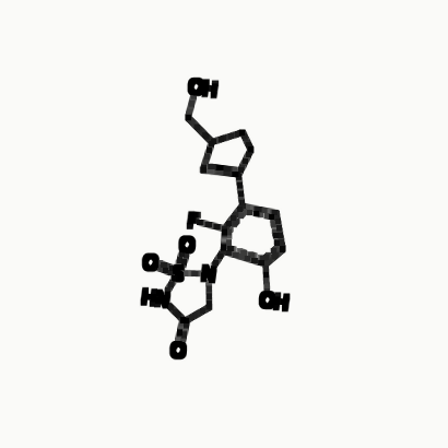 O=C1CN(c2c(O)ccc(C3=CC(CO)CC3)c2F)S(=O)(=O)N1